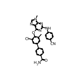 Cc1cc(-c2ccc(C(N)=O)cc2)cc(Cl)c1Oc1nc(Nc2ccc(C#N)cc2)nc2c1ncn2C